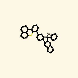 CC1(c2ccccc2)c2cc(-c3cccc4c3Sc3cccc5cccc-4c35)ccc2-c2cc3ccccc3cc21